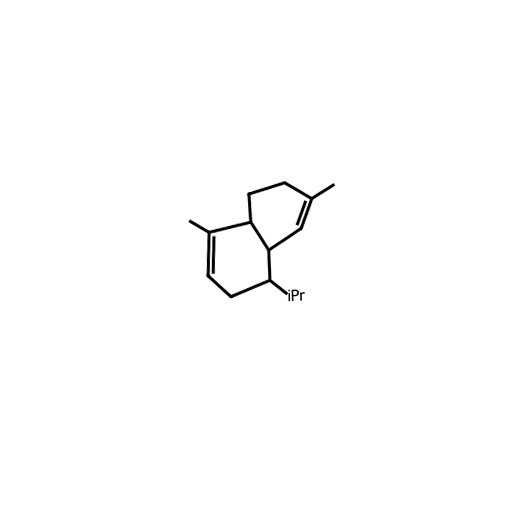 CC1=CC2C(CC1)C(C)=CCC2C(C)C